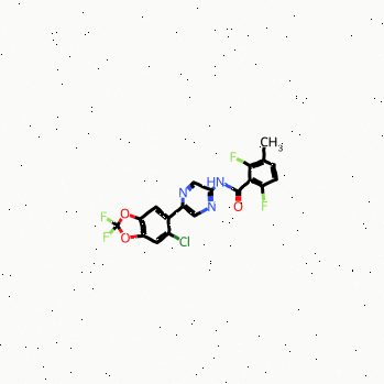 Cc1ccc(F)c(C(=O)Nc2cnc(-c3cc4c(cc3Cl)OC(F)(F)O4)cn2)c1F